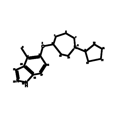 Cc1c(OC2CCCN(C3CCCC3)CC2)ccc2[nH]ncc12